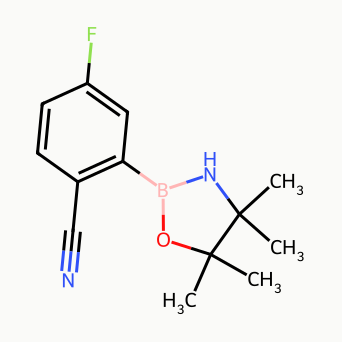 CC1(C)NB(c2cc(F)ccc2C#N)OC1(C)C